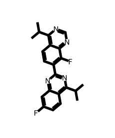 CC(C)c1nc(-c2ccc3c(C(C)C)ncnc3c2F)nc2cc(F)ccc12